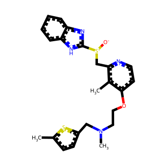 Cc1ccc(CN(C)CCOc2ccnc(C[S+]([O-])c3nc4ccccc4[nH]3)c2C)s1